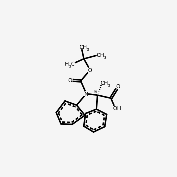 CC(C)(C)OC(=O)N(c1ccccc1)[C@@](C)(C(=O)O)c1ccccc1